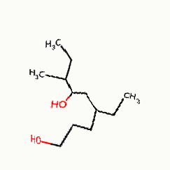 CCC(CCCO)CC(O)C(C)CC